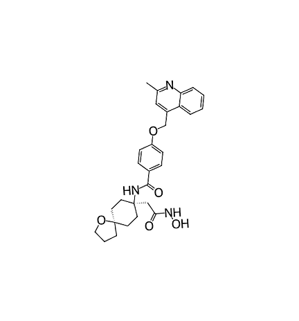 Cc1cc(COc2ccc(C(=O)N[C@]3(CC(=O)NO)CC[C@@]4(CCCO4)CC3)cc2)c2ccccc2n1